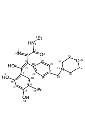 CCNC(=O)C(=N)/C(=C(\O)c1cc(C(C)C)c(O)cc1O)c1ccc(CN2CCOCC2)cc1